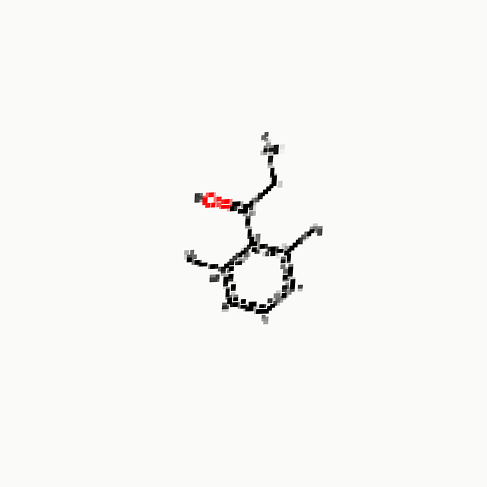 CC(=O)CC(=O)c1c(C)cccc1C